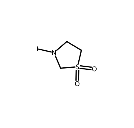 O=S1(=O)CCN(I)C1